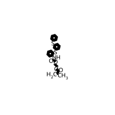 C=C(C)C(=O)OCCOC(=O)Nc1ccccc1Sc1cccc(Sc2ccccc2)c1